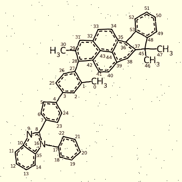 Cc1cc(-c2ccc(-c3nc4ccccc4n3-c3ccccc3)cc2)ccc1-c1c(C)cc2ccc3c4c(cc5ccc1c2c53)C(C)(C)c1ccccc1-4